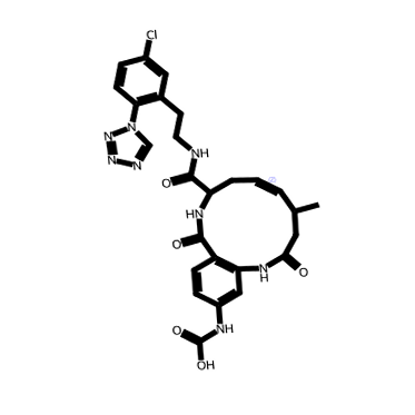 CC1/C=C\CC(C(=O)NCCc2cc(Cl)ccc2-n2cnnn2)NC(=O)c2ccc(NC(=O)O)cc2NC(=O)C1